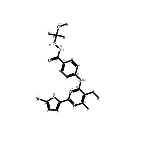 CCc1c(C)nc(-c2ccc(Br)s2)nc1Nc1ccc(C(=O)NOC(C)(C)OC)cc1